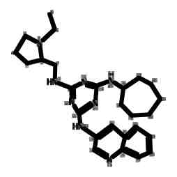 CCN1CCCC1CNc1nc(Nc2cnc3ccccc3c2)nc(NC2CCCCCC2)n1